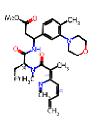 C=C/C=C\C(N=C)=C(/C)C(=O)N(C)[C@@H](CC(C)C)C(=O)NC(CC(=O)OC)c1ccc(C)c(N2CCOCC2)c1